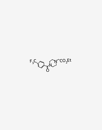 CCOC(=O)CN1CCN(C(=O)c2ccc(C(F)(F)F)cc2)CC1